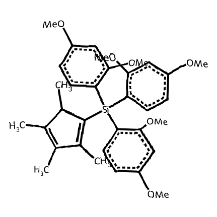 COc1ccc([Si](C2=C(C)C(C)=C(C)C2C)(c2ccc(OC)cc2OC)c2ccc(OC)cc2OC)c(OC)c1